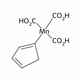 O=[C](O)[Mn]([C](=O)O)([C](=O)O)[C]1=CC=CC1